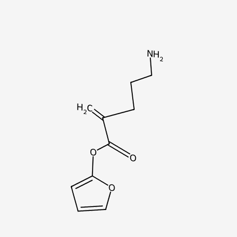 C=C(CCCN)C(=O)Oc1ccco1